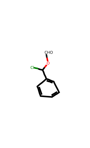 O=COC(Cl)c1ccccc1